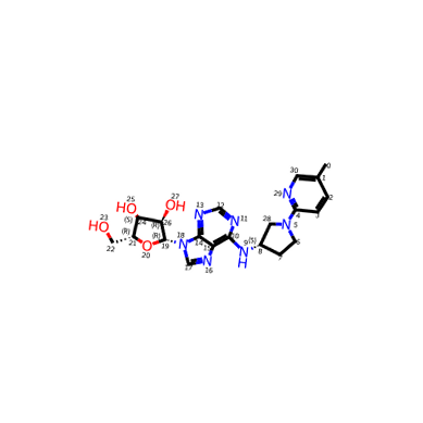 Cc1ccc(N2CC[C@H](Nc3ncnc4c3ncn4[C@@H]3O[C@H](CO)[C@@H](O)[C@H]3O)C2)nc1